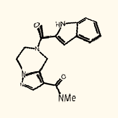 CNC(=O)c1cnn2c1CN(C(=O)c1cc3ccccc3[nH]1)CC2